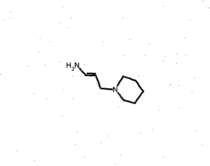 NC=CCN1CCCCC1